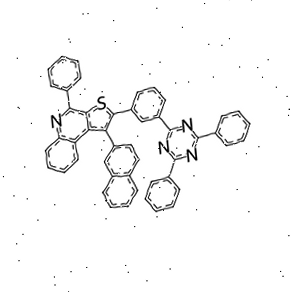 c1ccc(-c2nc(-c3ccccc3)nc(-c3cccc(-c4sc5c(-c6ccccc6)nc6ccccc6c5c4-c4ccc5ccccc5c4)c3)n2)cc1